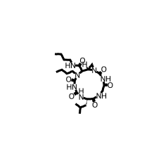 CCCCNC(=O)C1[C@@H]2CN2C(=O)NC(=O)CNC(=O)[C@H](CC(C)C)NC(=O)NC(=O)N1CCCC